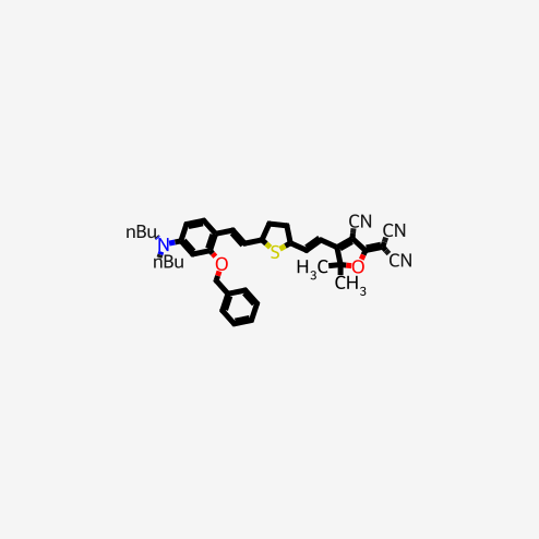 CCCCN(CCCC)c1ccc(/C=C/C2CCC(/C=C/C3=C(C#N)C(=C(C#N)C#N)OC3(C)C)S2)c(OCc2ccccc2)c1